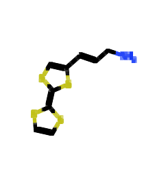 NCC=CC1=CSC(=C2SC=CS2)S1